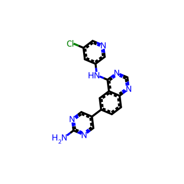 Nc1ncc(-c2ccc3ncnc(Nc4cncc(Cl)c4)c3c2)cn1